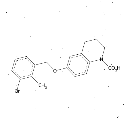 Cc1c(Br)cccc1COc1ccc2c(c1)CCCN2C(=O)O